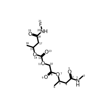 CNC(=O)CC(C)OC(=O)COC(=O)OC(C)CC(=O)NF